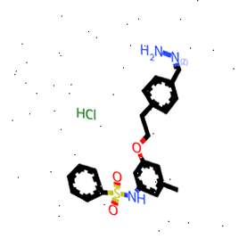 Cc1cc(NS(=O)(=O)c2ccccc2)cc(OCCc2ccc(/C=N\N)cc2)c1.Cl